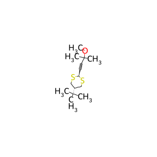 COC(C)(C)C#C[C@H]1SC[C@H](C(C)(C)C)CS1